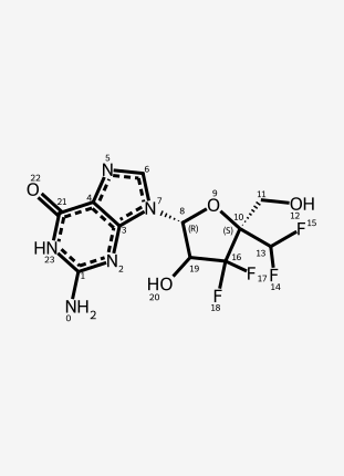 Nc1nc2c(ncn2[C@@H]2O[C@@](CO)(C(F)F)C(F)(F)C2O)c(=O)[nH]1